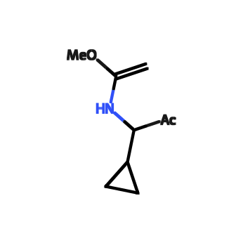 C=C(NC(C(C)=O)C1CC1)OC